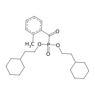 Cc1ccccc1C(=O)P(=O)(OCCC1CCCCC1)OCCC1CCCCC1